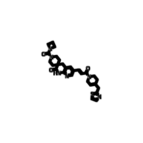 O=C(C=Cc1cnc2c(c1)CC1(CCN(C(=O)N3CCC3)CC1)C(=O)N2)N1CC=C(Cc2nccs2)CC1